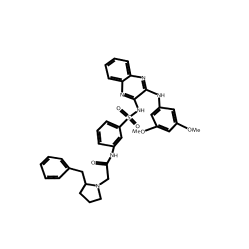 COc1cc(Nc2nc3ccccc3nc2NS(=O)(=O)c2cccc(NC(=O)CN3CCCC3Cc3ccccc3)c2)cc(OC)c1